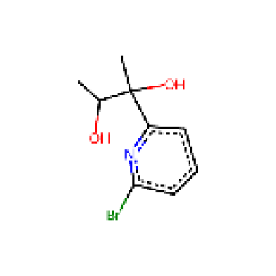 CC(O)C(C)(O)c1cccc(Br)n1